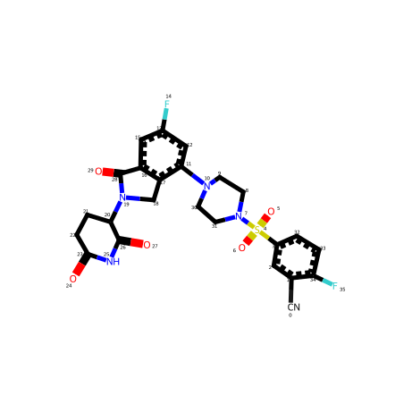 N#Cc1cc(S(=O)(=O)N2CCN(c3cc(F)cc4c3CN(C3CCC(=O)NC3=O)C4=O)CC2)ccc1F